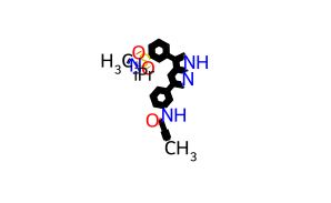 CC#CC(=O)Nc1cccc(-c2cnc3[nH]cc(-c4cccc(S(=O)(=O)N(C)C(C)C)c4)c3c2)c1